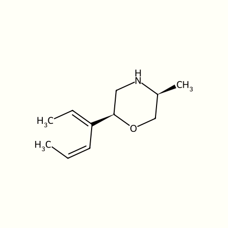 C/C=C\C(=C/C)[C@H]1CN[C@@H](C)CO1